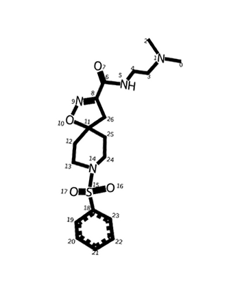 CN(C)CCNC(=O)C1=NOC2(CCN(S(=O)(=O)c3ccccc3)CC2)C1